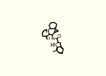 Cc1cccc2c1NC(C(=O)NC(C1CC1)C1C(C)CCCN1C1CCCCCC1)C2